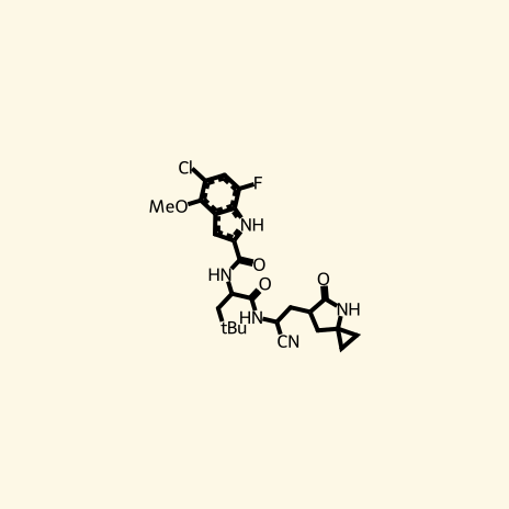 COc1c(Cl)cc(F)c2[nH]c(C(=O)NC(CC(C)(C)C)C(=O)NC(C#N)CC3CC4(CC4)NC3=O)cc12